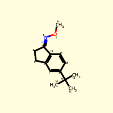 CO/N=C1/CCc2cc(C(C)(C)C)ccc21